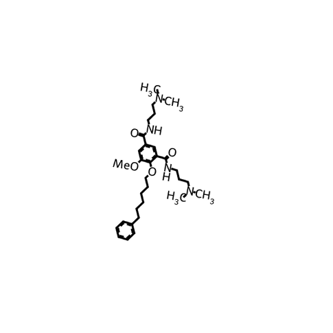 COc1cc(C(=O)NCCCN(C)C)cc(C(=O)NCCCN(C)C)c1OCCCCCCc1ccccc1